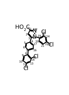 O=C(O)c1cc(-c2ccc(-c3ccc(Cl)cc3Cl)cc2)n(-c2ccc(Cl)cc2Cl)n1